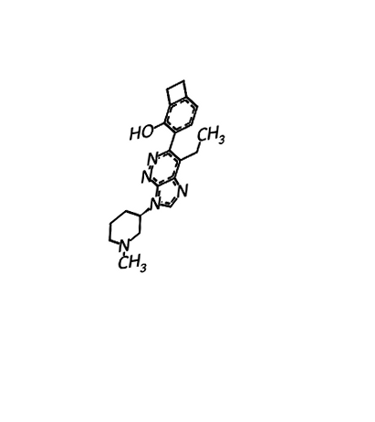 CCc1c(-c2ccc3c(c2O)CC3)nnc2c1ncn2[C@@H]1CCCN(C)C1